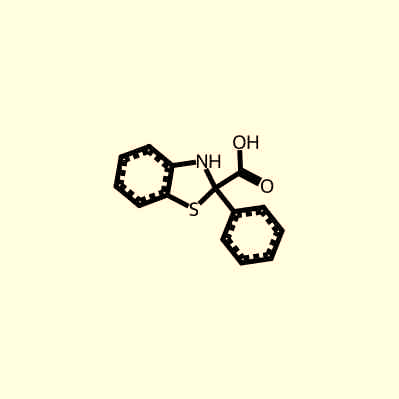 O=C(O)C1(c2ccccc2)Nc2ccccc2S1